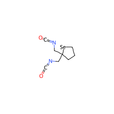 O=C=NCC1(CN=C=O)CCC[Se]1